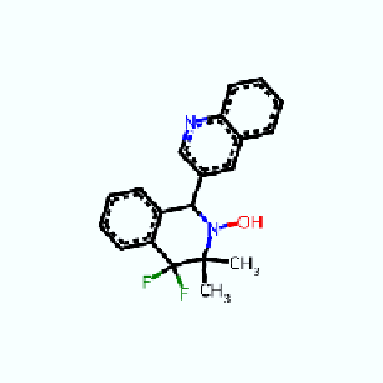 CC1(C)N(O)C(c2cnc3ccccc3c2)c2ccccc2C1(F)F